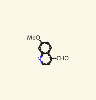 COc1ccc2c(C=O)ccnc2c1